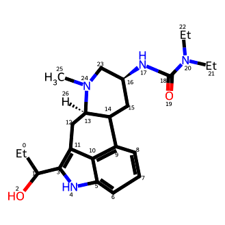 CCC(O)c1[nH]c2cccc3c2c1C[C@@H]1C3C[C@H](NC(=O)N(CC)CC)CN1C